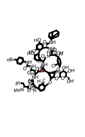 CCCCc1ccc(NC(=O)NC(=O)C[C@@H]2NC(=O)[C@H](NC(=O)[C@@H](CC(C)C)NC)[C@H](O)c3ccc(c(C)c3)Oc3cc4cc(c3O[C@@H]3O[C@H](CO)[C@@H](O)[C@H](O)[C@H]3O)OC3=CC[C@@H](C=C3Cl)[C@@H](O)[C@@H]3NC(=O)[C@H](NC(=O)[C@@H]4NC2=O)c2ccc(O)c(c2)-c2c(O)cc(O)cc2[C@@H](C(=O)NC2C4CC5CC(C4)CC2C5)NC3=O)cc1